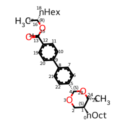 CCCCCCCC[C@H]1CO[C@H](c2ccc(-c3ccc(C(=O)O[C@H](C)CCCCCC)cc3)cc2)O[C@@H]1C